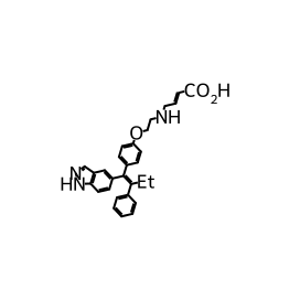 CCC(=C(c1ccc(OCCNCC=CC(=O)O)cc1)c1ccc2[nH]ncc2c1)c1ccccc1